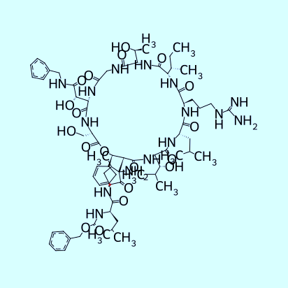 CC[C@H](C)[C@@H]1NC(=O)[C@@H](CCCNC(=N)N)NC(=O)[C@H](CC(C)C)NC(=O)[C@H]([C@H](O)C(C)C)NC(=O)[C@@H](C2(N)C(=O)[C@@H](NC(=O)[C@@H](CC(C)C)NC(=O)OCc3ccccc3)CC2C)[C@@H](C2C=CC=CC2)OC(=O)[C@H](CO)NC(=O)[C@H]([C@H](O)C(=O)NCc2ccccc2)NC(=O)CNC(=O)[C@H]([C@H](C)O)NC1=O